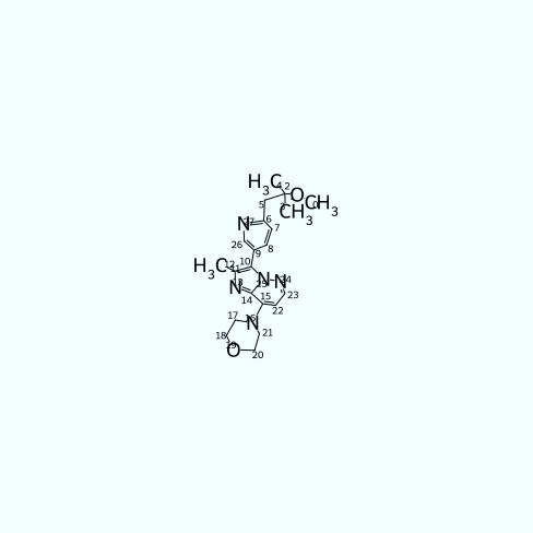 COC(C)(C)Cc1ccc(-c2c(C)nc3c(N4CCOCC4)ccnn23)cn1